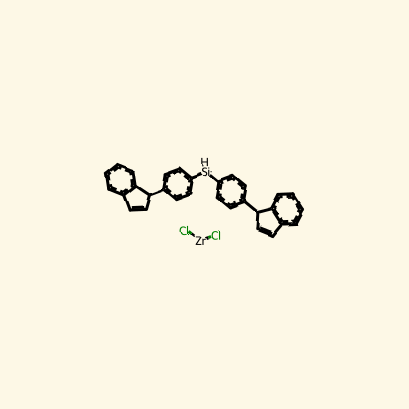 C1=CC(c2ccc([SiH]c3ccc(C4C=Cc5ccccc54)cc3)cc2)c2ccccc21.[Cl][Zr][Cl]